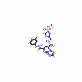 Cc1cc(CNC(=O)c2cc(C(=O)NCC3CCN(S(N)(=O)=O)C3)n3ncnc3n2)ccc1F